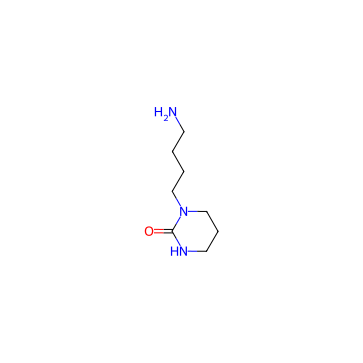 NCCCCN1CCCNC1=O